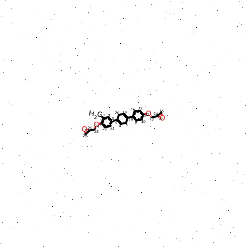 Cc1cc(C2=CCC(c3ccc(OCC4CO4)cc3)=CC2)ccc1OCC1CO1